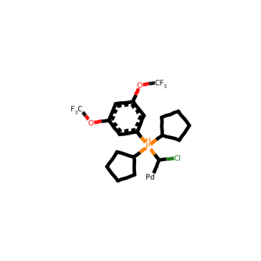 FC(F)(F)Oc1cc(OC(F)(F)F)cc([PH]([CH](Cl)[Pd])(C2CCCC2)C2CCCC2)c1